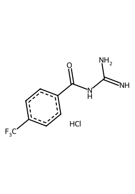 Cl.N=C(N)NC(=O)c1ccc(C(F)(F)F)cc1